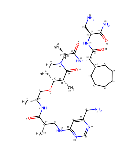 CCCCCC[C@@H](OC[C@@H](C)NC(=O)[C@@H](C)CNc1cc(CN)ncn1)[C@@H](C)C(=O)N(C)[Si@@H](CCC)C(=O)N[C@H](C(=O)N[C@@H](CN)C(N)=O)C1CCCCCC1